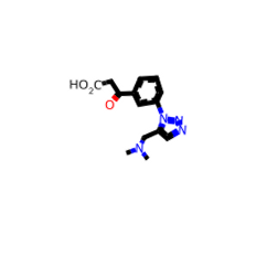 CN(C)Cc1cnnn1-c1cccc(C(=O)CC(=O)O)c1